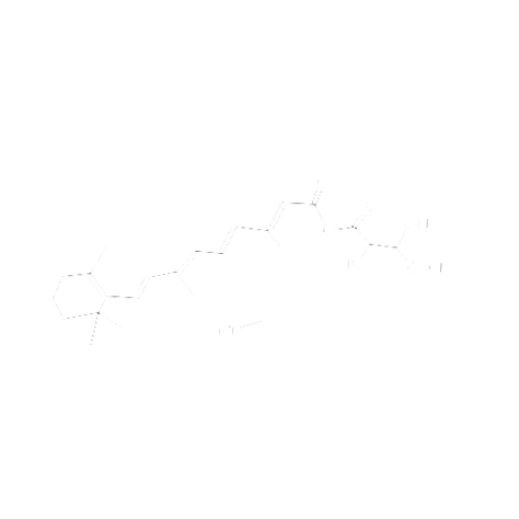 CC1=C(/C=C/C(C)=C/C=C/C(C)=C/C(=O)OC(=O)C(O)C(O)C(=O)O)C(C)(C)CCC1.CCCC